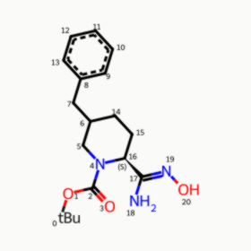 CC(C)(C)OC(=O)N1CC(Cc2ccccc2)CC[C@H]1C(N)=NO